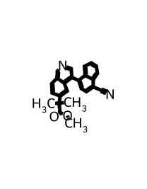 COC(=O)C(C)(C)c1ccc2cncc(-c3ccc(C#N)c4ccccc34)c2c1